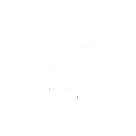 CCOc1ccc(B(O)O)c(OC(F)(F)F)c1